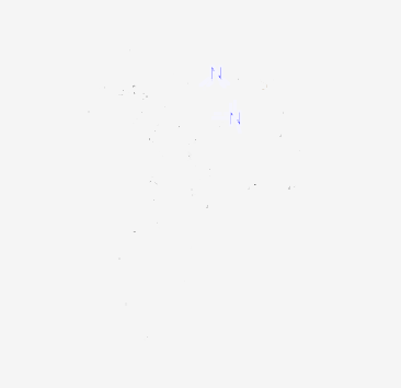 CC1(C)Sc2nc(-c3ccccc3)c(-c3ccccc3)n2-c2c(-c3cc(-c4ccccc4)cc(-c4ccc5ccccc5c4)c3)cccc21